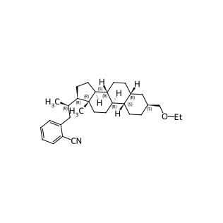 CCOC[C@H]1CC[C@H]2[C@H](CC[C@@H]3[C@@H]2CC[C@]2(C)[C@@H]([C@H](C)Cc4ccccc4C#N)CC[C@@H]32)C1